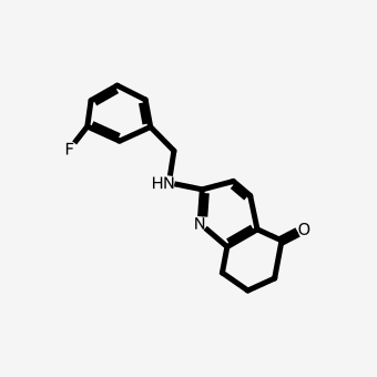 O=C1CCCc2nc(NCc3cccc(F)c3)ccc21